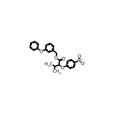 CC(C)C(Oc1ccc([N+](=O)[O-])cc1)C(=O)OCc1cccc(Oc2ccccc2)c1